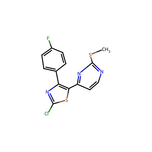 CSc1nccc(-c2sc(Cl)nc2-c2ccc(F)cc2)n1